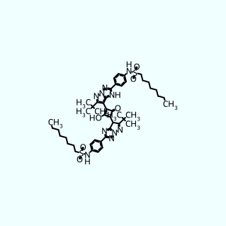 CCCCCCCCS(=O)(=O)Nc1ccc(-c2nc3n(n2)N=C(C(C)(C)C)C3C2C(=O)C(c3c(C(C)(C)C)nn4nc(-c5ccc(NS(=O)(=O)CCCCCCCC)cc5)[nH]c34)=C2O)cc1